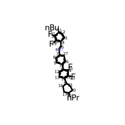 CCCCc1ccc(/C=C/c2ccc(-c3ccc(C4CCC(CCC)CC4)c(F)c3F)cc2)c(F)c1F